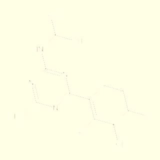 Cc1nc(NC(C)C)nc(C2=C(F)C(O)C(F)CC2)n1